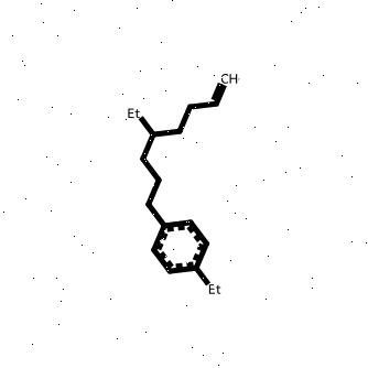 [CH]=CCCC(CC)CCCc1ccc(CC)cc1